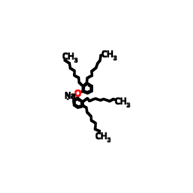 CCCCCCCCc1cccc(Oc2cccc(CCCCCCCC)c2CCCCCCCC)c1CCCCCCCC.[Na]